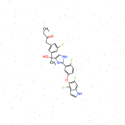 CCC(=O)Cc1cc(F)cc(C(C)(O)c2c[nH]c(-c3cc(Oc4c(F)cc5[nH]ccc5c4F)ccc3F)n2)c1